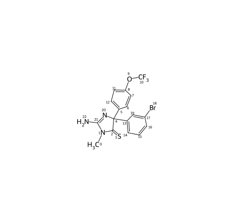 CN1C(=S)C(c2ccc(OC(F)(F)F)cc2)(c2cccc(Br)c2)N=C1N